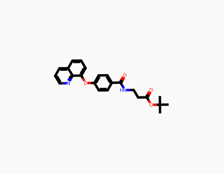 CC(C)(C)OC(=O)CCNC(=O)c1ccc(Oc2cccc3cccnc23)cc1